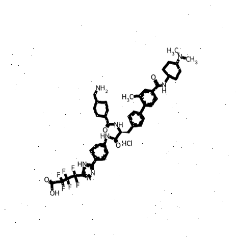 Cc1cc(C(=O)NC2CCC(N(C)C)CC2)ccc1-c1ccc(C[C@H](NC(=O)C2CCC(CN)CC2)C(=O)Nc2ccc(-c3nnc(C(F)(F)C(F)(F)C(F)(F)C(=O)O)[nH]3)cc2)cc1.Cl